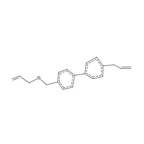 C=CCOCc1ccc(-c2ccc(CC=C)cc2)cc1